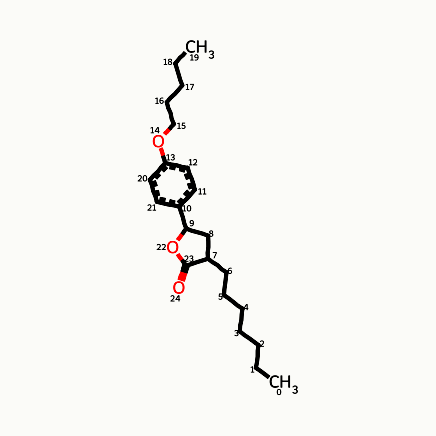 CCCCCCCC1CC(c2ccc(OCCCCC)cc2)OC1=O